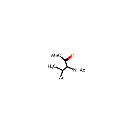 COC(=O)C(NC(C)=O)C(C)C(C)=O